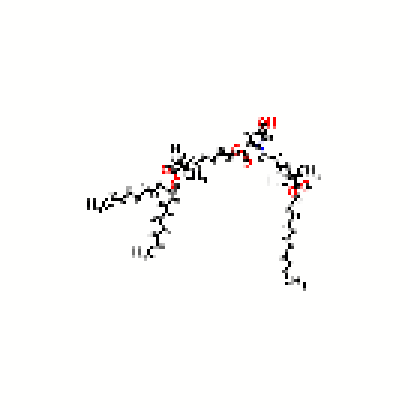 CCCCCCCCCCCOC(=O)C(C)(C)CCCCN1CC(O)C[C@H]1C(=O)OCCCCCCC(C)(C)C(=O)OC(CCCCCCCC)CCCCCCCC